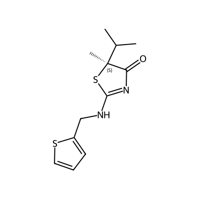 CC(C)[C@]1(C)SC(NCc2cccs2)=NC1=O